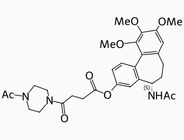 COc1cc2c(c(OC)c1OC)-c1ccc(OC(=O)CCC(=O)N3CCN(C(C)=O)CC3)cc1[C@@H](NC(C)=O)CC2